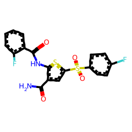 NC(=O)c1cc(S(=O)(=O)c2ccc(F)cc2)sc1NC(=O)c1ccccc1F